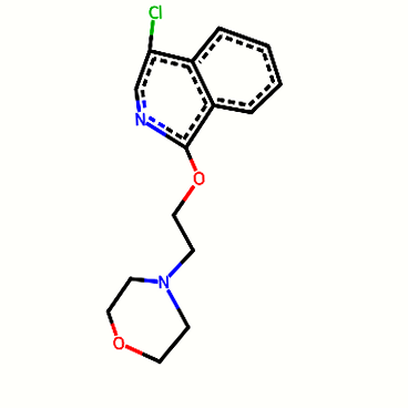 Clc1cnc(OCCN2CCOCC2)c2ccccc12